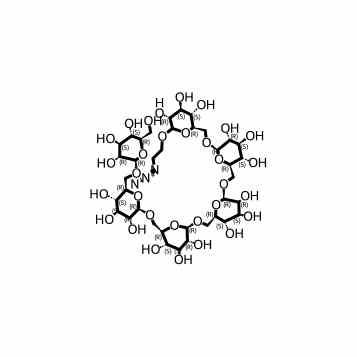 [N-]=[N+]=NCCOC1O[C@H](CO[C@@H]2O[C@H](CO[C@@H]3O[C@H](CO[C@@H]4O[C@H](CO[C@@H]5O[C@H](CO[C@@H]6O[C@H](CO)[C@@H](O)[C@H](O)[C@H]6O)[C@@H](O)[C@H](O)[C@H]5O)[C@@H](O)[C@H](O)[C@H]4O)[C@@H](O)[C@H](O)[C@H]3O)[C@@H](O)[C@H](O)[C@H]2O)[C@@H](O)[C@H](O)[C@H]1O